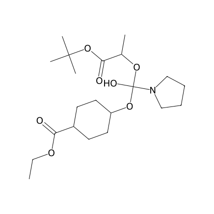 CCOC(=O)C1CCC(OC(O)(OC(C)C(=O)OC(C)(C)C)N2CCCC2)CC1